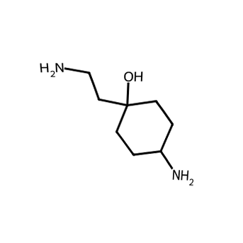 NCCC1(O)CCC(N)CC1